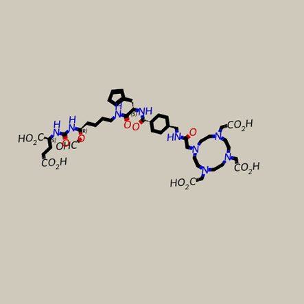 O=CO[C@H](CCCCNC(=O)[C@H](CC1=CCC=C1)NC(=O)[C@H]1CC[C@H](CNC(=O)CN2CCN(CC(=O)O)CCN(CC(=O)O)CCN(CC(=O)O)CC2)CC1)NC(=O)N[C@@H](CCC(=O)O)C(=O)O